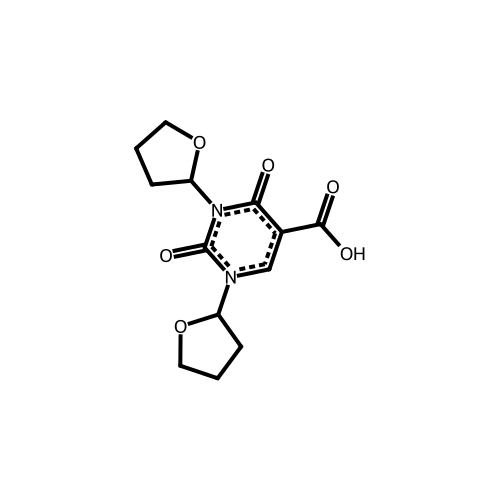 O=C(O)c1cn(C2CCCO2)c(=O)n(C2CCCO2)c1=O